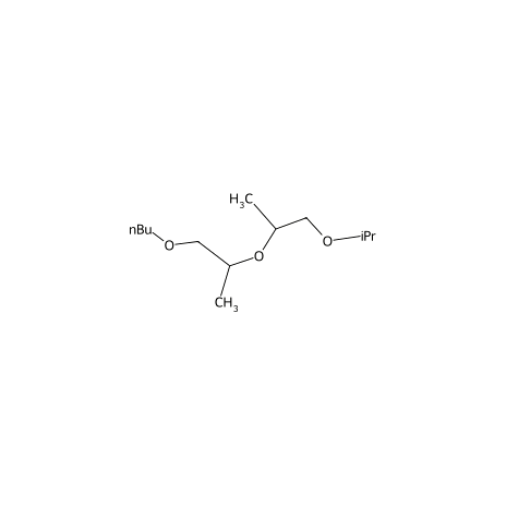 [CH2]C(C)OCC(C)OC(C)COCCCC